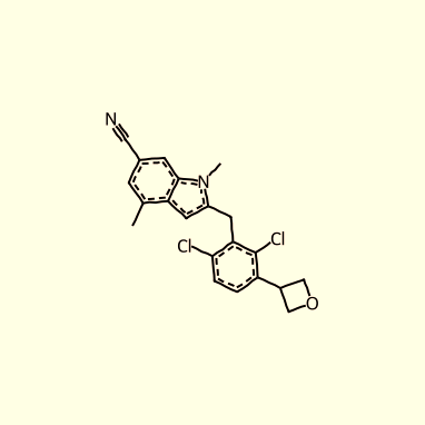 Cc1cc(C#N)cc2c1cc(Cc1c(Cl)ccc(C3COC3)c1Cl)n2C